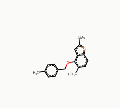 COc1cc2c(OCc3ccc(C)cc3)c(C(=O)O)ccc2s1